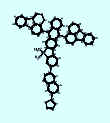 C[Si]1(C)c2cc(-c3ccc4cc(C5=CC=CC5)ccc4c3)ccc2-c2cc3c(-c4ccc5c6c(cccc46)-c4ccccc4-5)c4ccccc4c(-c4ccc5c6c4CCC=C6c4ccccc4-5)c3cc21